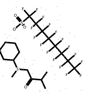 CC(C)C(=O)C[S+](C)C1CCCCC1.O=S(=O)([O-])C(F)(F)C(F)(F)C(F)(F)C(F)(F)C(F)(F)C(F)(F)C(F)(F)C(F)(F)F